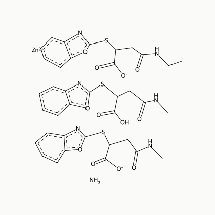 CCNC(=O)CC(Sc1nc2ccccc2o1)C(=O)[O-].CNC(=O)CC(Sc1nc2ccccc2o1)C(=O)O.CNC(=O)CC(Sc1nc2ccccc2o1)C(=O)[O-].N.[Zn+2]